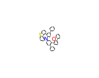 c1ccc(-c2ccc(N(c3ccc(-c4ccccc4)c(-c4cccc5c4oc4ccccc45)c3)c3cccc4sc5ccccc5c34)cc2)cc1